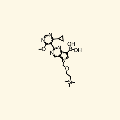 COc1ncnc(C2CC2)c1-c1ncc2c(n1)c(B(O)O)cn2COCC[Si](C)(C)C